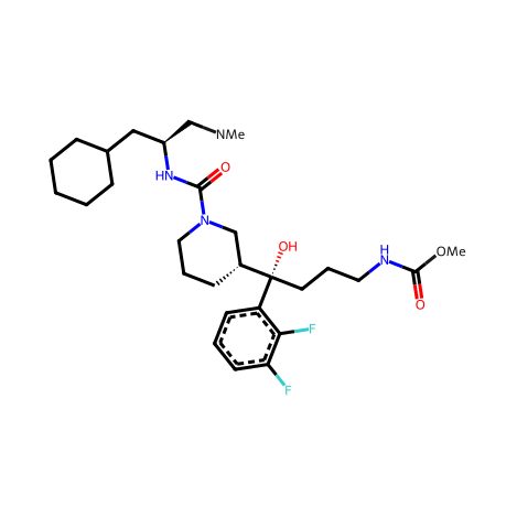 CNC[C@H](CC1CCCCC1)NC(=O)N1CCC[C@@H]([C@@](O)(CCCNC(=O)OC)c2cccc(F)c2F)C1